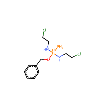 P[PH](NCCCl)(NCCCl)OCc1ccccc1